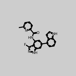 Cc1cccc(C(=O)Nc2cc(-c3cccc4[nH]ccc34)cc3[nH]nc(F)c23)n1